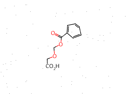 O=C(O)COCOC(=O)c1ccccc1